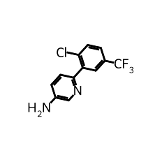 Nc1ccc(-c2cc(C(F)(F)F)ccc2Cl)nc1